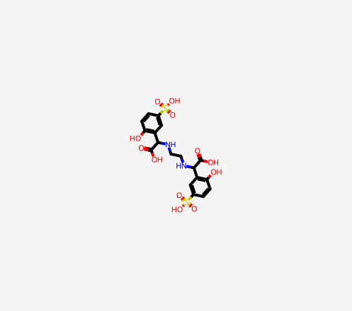 O=C(O)C(NCCNC(C(=O)O)c1cc(S(=O)(=O)O)ccc1O)c1cc(S(=O)(=O)O)ccc1O